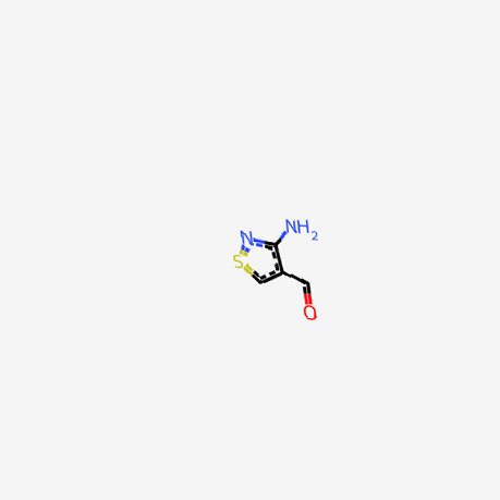 Nc1nscc1C=O